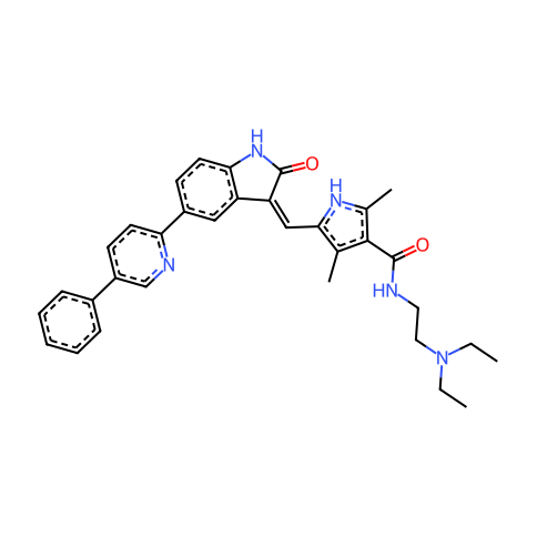 CCN(CC)CCNC(=O)c1c(C)[nH]c(/C=C2\C(=O)Nc3ccc(-c4ccc(-c5ccccc5)cn4)cc32)c1C